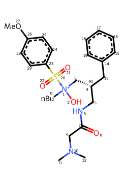 CCCC[N+](O)(C[C@@H]([CH]NC(=O)CN(C)C)Cc1ccccc1)S(=O)(=O)c1ccc(OC)cc1